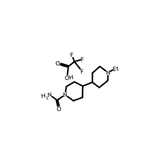 CCN1CCC(C2CCN(C(N)=O)CC2)CC1.O=C(O)C(F)(F)F